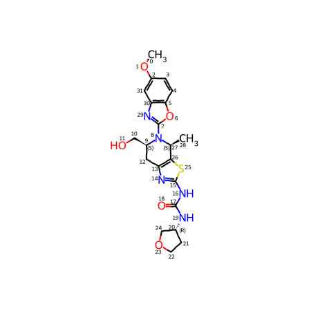 COc1ccc2oc(N3[C@H](CO)Cc4nc(NC(=O)N[C@@H]5CCOC5)sc4[C@@H]3C)nc2c1